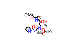 CCCC(=O)OCN(C(=O)[C@@H](NC(=O)[C@H]1CCCCN1C)[C@@H](C)CC)[C@H](C[C@@H](O)c1nc(C(=O)OC)cs1)C(C)C